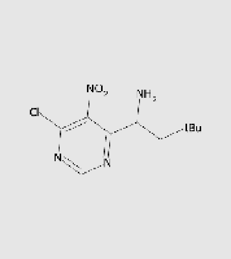 CC(C)(C)CC(N)c1ncnc(Cl)c1[N+](=O)[O-]